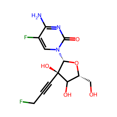 Nc1nc(=O)n([C@@H]2O[C@H](CO)C(O)[C@]2(O)C#CCF)cc1F